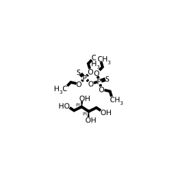 CCOP(=S)(OCC)OP(=S)(OCC)OCC.OC[C@@H](O)[C@H](O)CO